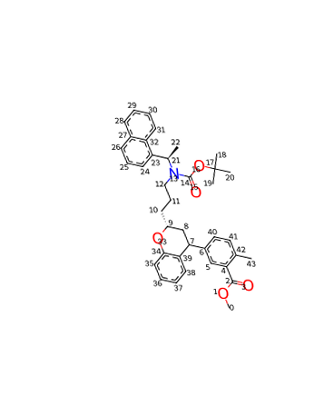 COC(=O)c1cc(C2C[C@@H](CCCN(C(=O)OC(C)(C)C)[C@H](C)c3cccc4ccccc34)Oc3ccccc32)ccc1C